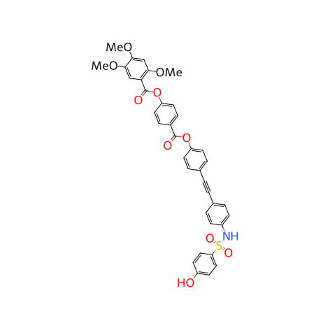 COc1cc(OC)c(C(=O)Oc2ccc(C(=O)Oc3ccc(C#Cc4ccc(NS(=O)(=O)c5ccc(O)cc5)cc4)cc3)cc2)cc1OC